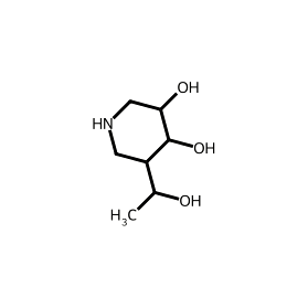 CC(O)C1CNCC(O)C1O